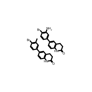 Cc1cc(-c2ccc3c(c2)CCC(=O)N3)ccc1Br.Nc1cc(-c2ccc3c(c2)CCC(=O)N3)ccc1Br